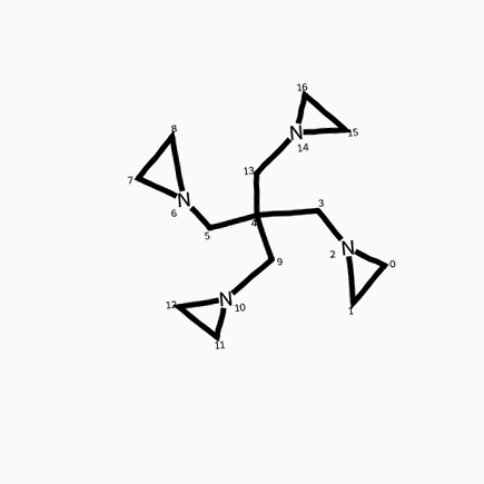 C1CN1CC(CN1CC1)(CN1CC1)CN1CC1